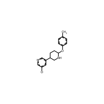 Cc1ccc(OC2CCC(c3cncc([O])c3)CN2)cc1